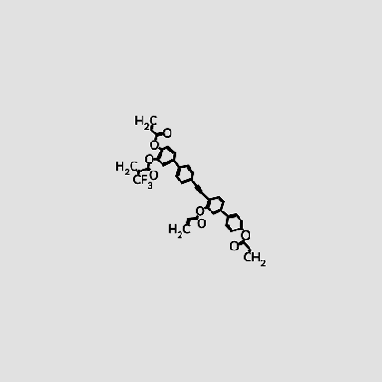 C=CC(=O)Oc1ccc(-c2ccc(C#Cc3ccc(-c4ccc(OC(=O)C=C)c(OC(=O)C(=C)C(F)(F)F)c4)cc3)c(OC(=O)C=C)c2)cc1